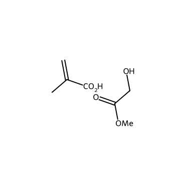 C=C(C)C(=O)O.COC(=O)CO